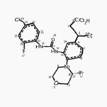 CCC(CC(=O)O)c1ccc(N2CCOC[C@H]2C(C)C)c(NC(=O)Nc2ccc(Cl)cc2F)c1